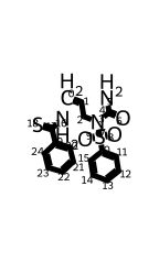 C=CCN(C(N)=O)S(=O)(=O)c1ccccc1.NC(=S)c1ccccc1